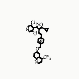 FC(F)(F)c1ccnc2ccc(OCC34CCC(C=Cc5c(-c6c(Cl)cncc6Cl)noc5C5CC5)(CC3)CO4)cc12